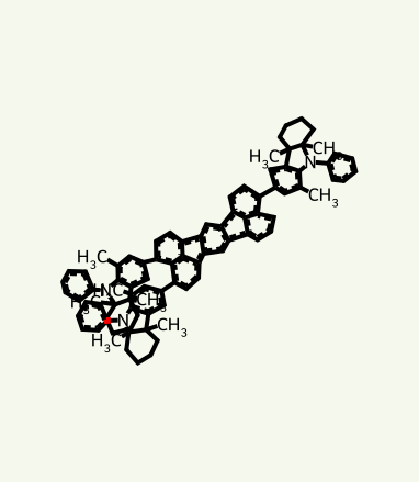 Cc1cc(-c2ccc3c4cc5c(cc4c4cccc2c43)c2ccc(-c3cc(C)c4c(c3)C3(C)CCCCC3(C)N4c3ccccc3)c3c(-c4cc(C)c6c(c4)C4(C)CCCCC4(C)N6c4ccccc4)ccc5c32)cc2c1N(c1ccccc1)C1(C)CCCCC21C